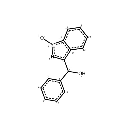 [O-][s+]1nc(C(O)c2ccccc2)c2ccccc21